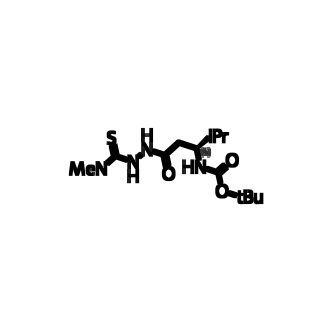 CNC(=S)NNC(=O)C[C@H](NC(=O)OC(C)(C)C)C(C)C